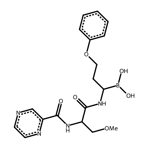 COCC(NC(=O)c1cnccn1)C(=O)NC(CCOc1ccccc1)B(O)O